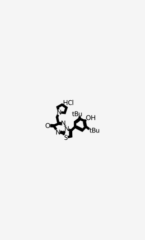 CC(C)(C)c1cc(-c2csc3nc(=O)c(CN4CCCC4)nn23)cc(C(C)(C)C)c1O.Cl